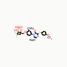 COc1cc(-n2ccnc(Sc3ccc(OC(F)(F)F)cc3)c2=O)ccc1OCC1(OP(=O)(O)O)CC(F)(F)C1.[NaH]